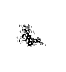 CCCC(=O)[N+](C)(Cc1ccc(-c2ccccc2S(=O)(=O)Nc2noc(C)c2C)c(COC)c1)[C@H](C(=O)NC)C(C)C